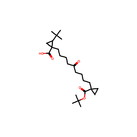 CC(C)(C)OC(=O)C1(CCCCC(=O)CCCCC2(C(=O)O)CC2C(C)(C)C)CC1